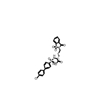 O=C(O)[C@@H](CSCN1C(=O)c2ccccc2S1(=O)=O)NS(=O)(=O)c1ccc(-c2ccc(Cl)cc2)cc1